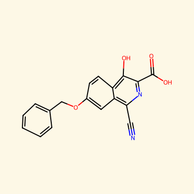 N#Cc1nc(C(=O)O)c(O)c2ccc(OCc3ccccc3)cc12